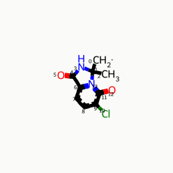 [CH2]C1(C)NC(=O)c2ccc(Cl)c(=O)n21